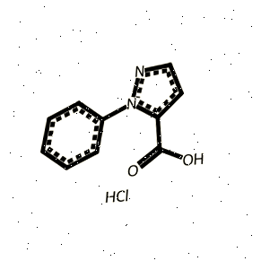 Cl.O=C(O)c1ccnn1-c1ccccc1